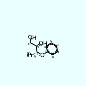 CC(C)[C@@H](Oc1ccccc1)[C@H](O)CO